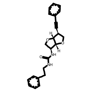 O=C(NCCc1ccccc1)N[C@H]1CO[C@H]2[C@@H]1OC[C@@H]2C#Cc1ccccc1